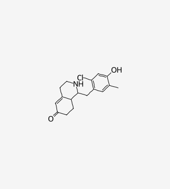 Cc1cc(CC2NCCC3=CC(=O)CCC32)c(Cl)cc1O